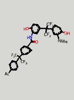 CNc1cc(C(c2ccc(O)c(NC(=O)c3ccc(C(c4ccc(C(C)=O)cc4)(C(F)(F)F)C(F)(F)F)cc3)c2)(C(F)(F)F)C(F)(F)F)ccc1O